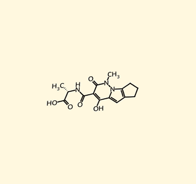 C[C@H](NC(=O)c1c(O)c2cc3c(n2n(C)c1=O)CCC3)C(=O)O